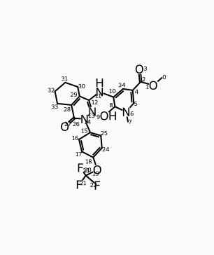 COC(=O)C1=CN(C)C(O)C(Nc2nn(-c3ccc(OC(F)(F)F)cc3)c(=O)c3c2CCCC3)=C1